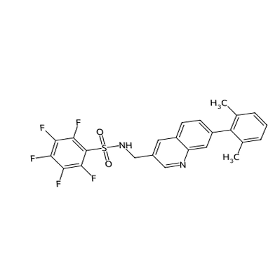 Cc1cccc(C)c1-c1ccc2cc(CNS(=O)(=O)c3c(F)c(F)c(F)c(F)c3F)cnc2c1